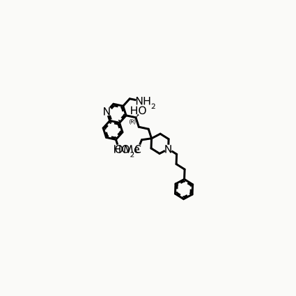 COc1ccc2ncc(CN)c([C@H](O)CCC3(CC(=O)O)CCN(CCCc4ccccc4)CC3)c2c1